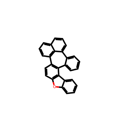 c1ccc2c(c1)-c1cccc3cccc(c13)-c1ccc3oc4ccccc4c3c1-2